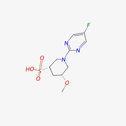 CO[C@@H]1C[C@H](S(=O)(=O)O)CN(c2ncc(F)cn2)C1